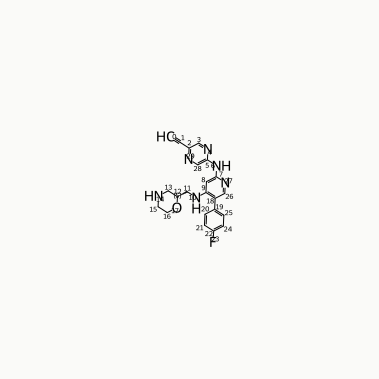 C#Cc1cnc(Nc2cc(NC[C@@H]3CNCCO3)c(-c3ccc(F)cc3)cn2)cn1